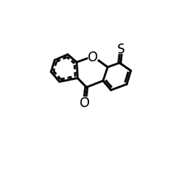 O=C1C2=CC=CC(=S)C2Oc2ccccc21